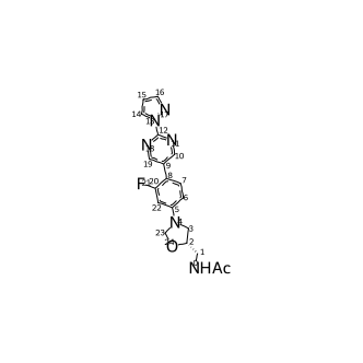 CC(=O)NC[C@H]1CN(c2ccc(-c3cnc(-n4cccn4)nc3)c(F)c2)CO1